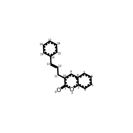 O=c1oc2ccccc2cc1CC=Cc1ccccc1